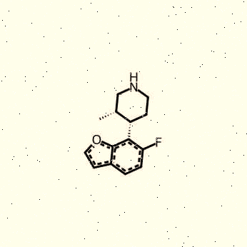 C[C@@H]1CNCC[C@@H]1c1c(F)ccc2ccoc12